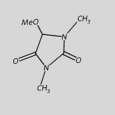 COC1C(=O)N(C)C(=O)N1C